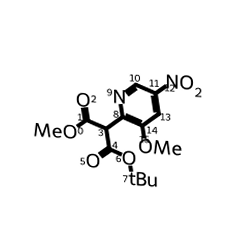 COC(=O)C(C(=O)OC(C)(C)C)c1ncc([N+](=O)[O-])cc1OC